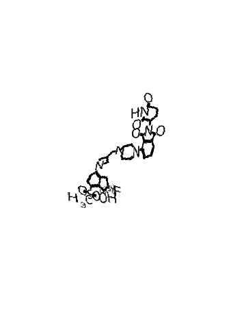 CS(=O)(=O)c1ccc(N2CC(CN3CCN(c4cccc5c4C(=O)N(C4CCC(=O)NC4=O)C5=O)CC3)C2)c2c1[C@H](O)[C@@H](F)C2